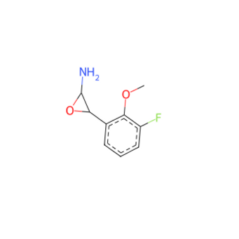 COc1c(F)cccc1C1OC1N